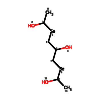 CC(O)[Se]CC(O)C[Se]C(C)O